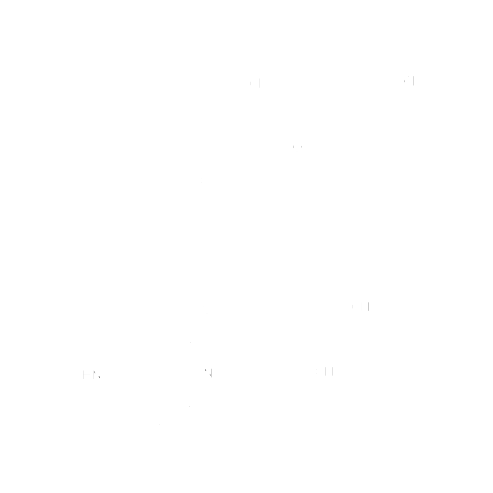 Cc1cccc(CN(C(=O)C2=C(c3ccc(OCCOc4cc(Cl)ccc4Cl)cc3)CCNC2)C2CC2)c1C